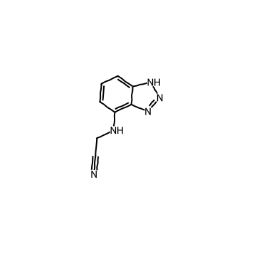 N#CCNc1cccc2[nH]nnc12